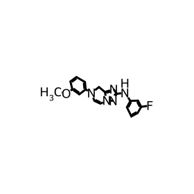 COc1cccc(N2C=Cn3nc(Nc4cccc(F)c4)nc3C2)c1